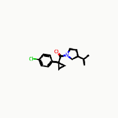 CC(C)C1CCN(C(=O)C2(c3ccc(Cl)cc3)CC2)C1